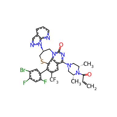 C=CC(=O)N1[C@H](C)CN(c2nc(=O)n3c4c(c(-c5cc(Br)c(F)cc5F)c(C(F)(F)F)cc24)SC[C@@H](n2ncc4cccnc42)C3)C[C@@H]1C